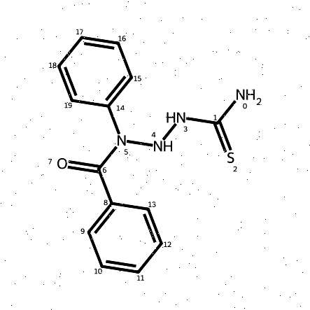 NC(=S)NNN(C(=O)c1ccccc1)c1ccccc1